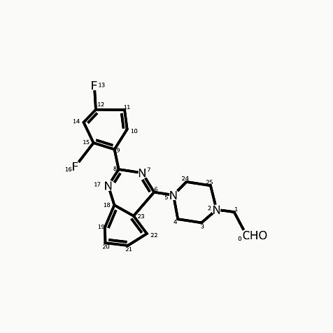 O=CCN1CCN(c2nc(-c3ccc(F)cc3F)nc3ccccc23)CC1